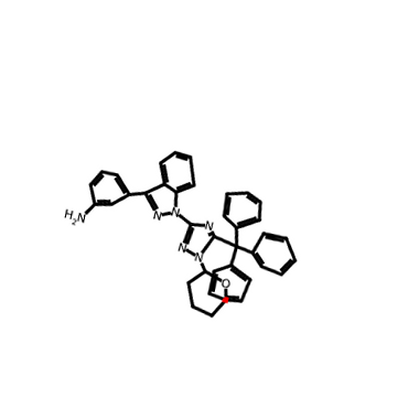 Nc1cccc(-c2nn(-c3nc(C(c4ccccc4)(c4ccccc4)c4ccccc4)n(C4CCCCO4)n3)c3ccccc23)c1